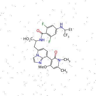 CCC(Nc1cc(F)c(C(=O)NC(Cc2ccc(-c3c(OC)cc(C)n(C)c3=O)c3nccn23)C(=O)O)c(F)c1)C(F)(F)F